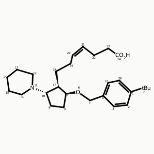 CC(C)(C)c1ccc(CO[C@H]2CC[C@H](N3CCCCC3)[C@H]2CC/C=C\CCC(=O)O)cc1